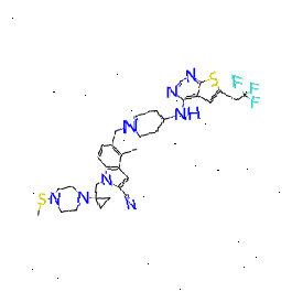 CSN1CCN(C2(Cn3c(C#N)cc4c(C)c(CN5CCC(Nc6ncnc7sc(CC(F)(F)F)cc67)CC5)ccc43)CC2)CC1